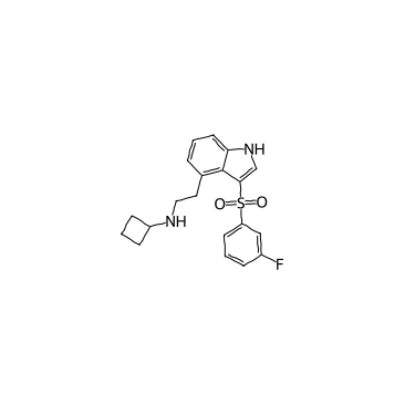 O=S(=O)(c1cccc(F)c1)c1c[nH]c2cccc(CCNC3CCC3)c12